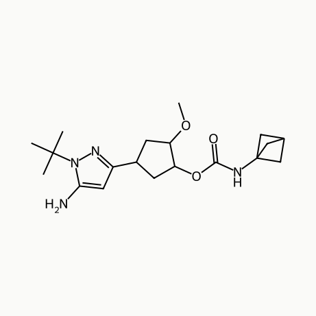 COC1CC(c2cc(N)n(C(C)(C)C)n2)CC1OC(=O)NC12CC(C1)C2